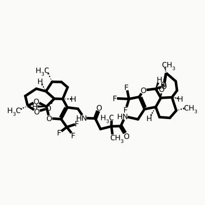 C[C@@H]1CC[C@H]2C(CNC(=O)CC(C)(C)C(=O)NCC3=C(C(F)(F)F)O[C@@H]4O[C@]5(C)CC[C@H]6[C@H](C)CC[C@@H]3[C@@]46OO5)=C(C(F)(F)F)O[C@@H]3O[C@]4(C)CC[C@@H]1[C@]32OO4